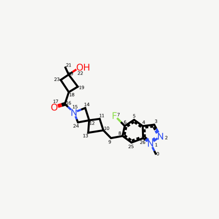 Cn1ncc2cc(F)c(CC3CC4(C3)CN(C(=O)C3CC(C)(O)C3)C4)cc21